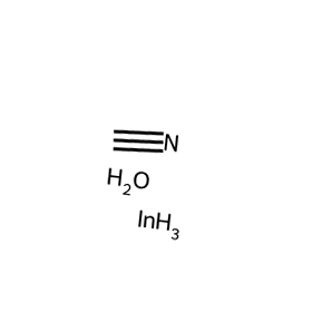 C#N.O.[InH3]